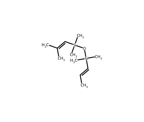 C/C=C/[Si](C)(C)O[Si](C)(C)C=C(C)C